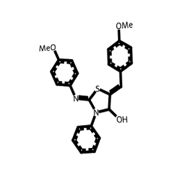 COc1ccc(/C=C2\S/C(=N\c3ccc(OC)cc3)N(c3ccccc3)C2O)cc1